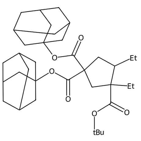 CCC1CC(C(=O)OC23CC4CC(CC(C4)C2)C3)(C(=O)OC23CC4CC(CC(C4)C2)C3)CC1(CC)C(=O)OC(C)(C)C